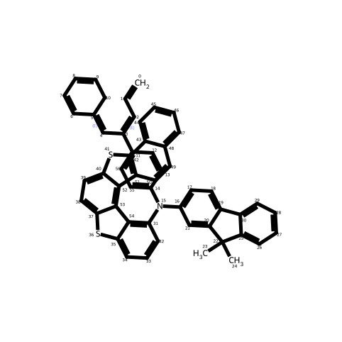 C=C/C=C(\C=C1\C=CC=CC1)c1ccc(N(c2ccc3c(c2)C(C)(C)c2ccccc2-3)c2cccc3sc4ccc5sc6c7ccccc7ccc6c5c4c23)cc1